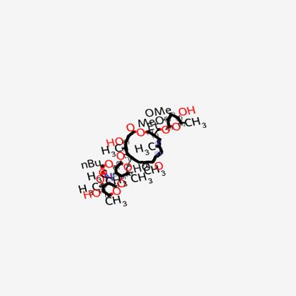 CCCCC(=O)O[C@H]1[C@H](O[C@H]2[C@@H](CC=O)C[C@@H](C)C(=O)/C=C/C(C)=C/[C@H](CO[C@@H]3O[C@H](C)[C@@H](O)[C@@H](OC)[C@H]3OC)[C@@H](CC)OC(=O)C[C@@H](O)[C@@H]2C)O[C@H](C)[C@@H](O[C@H]2C[C@@](C)(O)[C@@H](O)[C@H](C)O2)[C@@H]1N(C)C